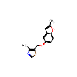 Cc1[c]c2cc(OCc3scnc3C)ccc2o1